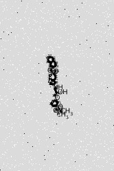 CN(C)S(=O)(=O)c1cccc(OC[C@@H](O)CNC2COC3(CCN(S(=O)(=O)c4ccc5ccccc5c4)CC3)C2)c1